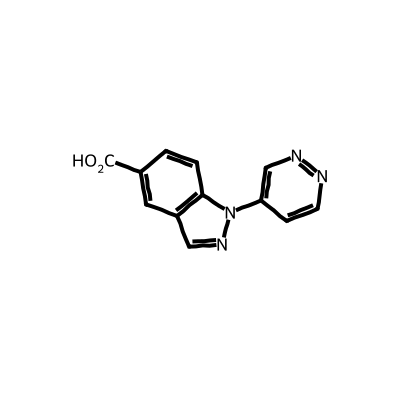 O=C(O)c1ccc2c(cnn2-c2ccnnc2)c1